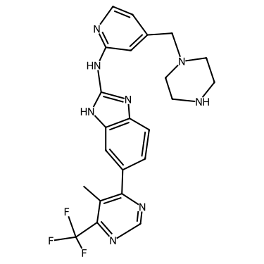 Cc1c(-c2ccc3nc(Nc4cc(CN5CCNCC5)ccn4)[nH]c3c2)ncnc1C(F)(F)F